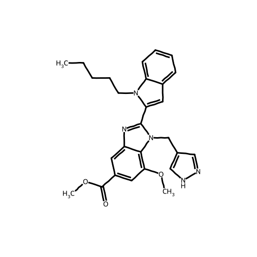 CCCCCn1c(-c2nc3cc(C(=O)OC)cc(OC)c3n2Cc2cn[nH]c2)cc2ccccc21